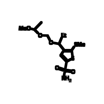 CCC(OCOC(C)OC)c1cc(S(N)(=O)=O)sc1SC